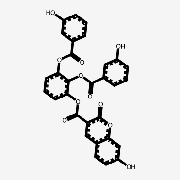 O=C(Oc1cccc(OC(=O)c2cc3ccc(O)cc3oc2=O)c1OC(=O)c1cccc(O)c1)c1cccc(O)c1